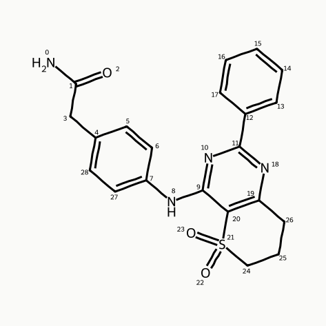 NC(=O)Cc1ccc(Nc2nc(-c3ccccc3)nc3c2S(=O)(=O)CCC3)cc1